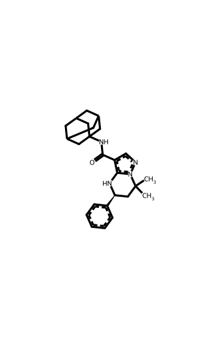 CC1(C)C[C@@H](c2ccccc2)Nc2c(C(=O)NC34CC5CC(CC(C5)C3)C4)cnn21